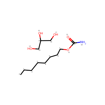 CCCCCCCCOC(N)=O.OCC(O)CO